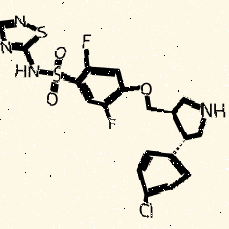 O=S(=O)(Nc1ncns1)c1cc(F)c(OC[C@H]2CNC[C@@H]2c2ccc(Cl)cc2)cc1F